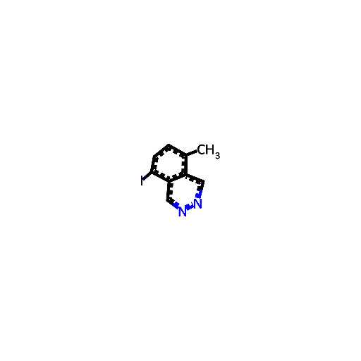 Cc1ccc(I)c2cnncc12